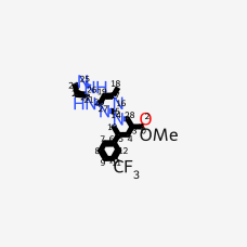 COC(=O)C1CC(c2cccc(C(F)(F)F)c2)CN(c2nc(C)cc(Nc3ccn[nH]3)n2)C1